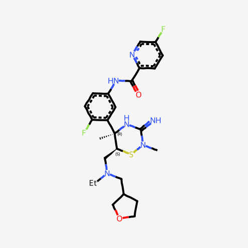 CCN(CC1CCOC1)C[C@@H]1SN(C)C(=N)N[C@]1(C)c1cc(NC(=O)c2ccc(F)cn2)ccc1F